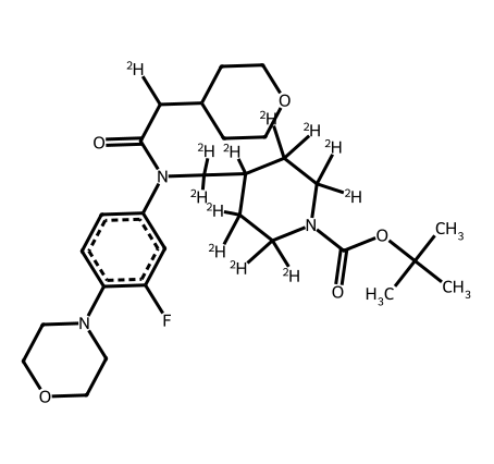 [2H]C(C(=O)N(c1ccc(N2CCOCC2)c(F)c1)C([2H])([2H])C1([2H])C([2H])([2H])C([2H])([2H])N(C(=O)OC(C)(C)C)C([2H])([2H])C1([2H])[2H])C1CCOCC1